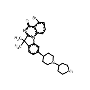 CC1(C)c2ccc(C3CCN(C4CCNCC4)CC3)cc2-n2c1nc(=O)c1c(Br)cccc12